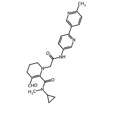 Cc1ccc(-c2ccc(NC(=O)CN3CCCC(C=O)=C3C(=O)N(C)C3CC3)cn2)cn1